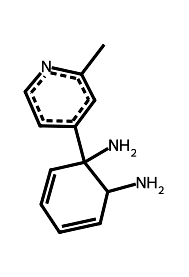 Cc1cc(C2(N)C=CC=CC2N)ccn1